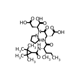 CC[C@H](C)[C@H](NC(=O)C1C(C)(C)C1(C)C)C(=O)N[C@@H](CC(=O)O)C(=O)N([C@@H](CC(=O)O)C(=O)O)N1CCCC1